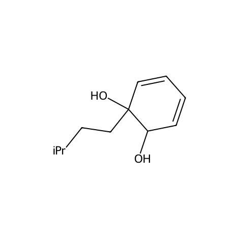 CC(C)CCC1(O)C=CC=CC1O